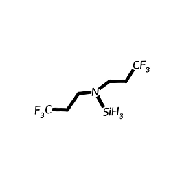 FC(F)(F)CCN([SiH3])CCC(F)(F)F